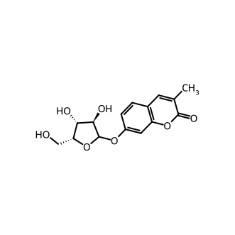 Cc1cc2ccc(OC3O[C@H](CO)[C@H](O)[C@H]3O)cc2oc1=O